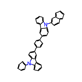 c1ccc(-n2c3ccccc3c3cc(-c4ccc(-c5ccc6c(c5)c5ccccc5n6-c5ccc6ccccc6c5)cc4)ccc32)cc1